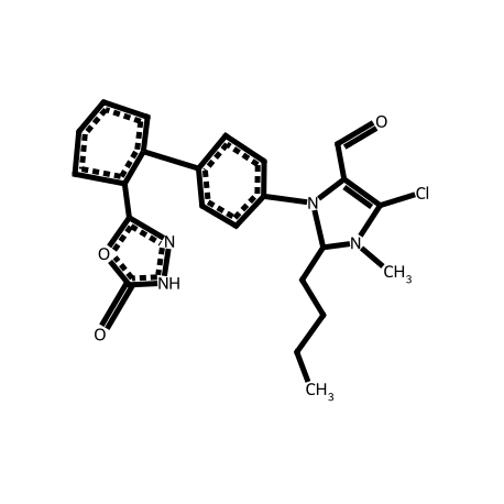 CCCCC1N(C)C(Cl)=C(C=O)N1c1ccc(-c2ccccc2-c2n[nH]c(=O)o2)cc1